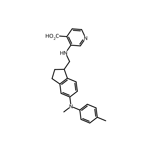 Cc1ccc(N(C)c2ccc3c(c2)CCC3CNc2cnccc2C(=O)O)cc1